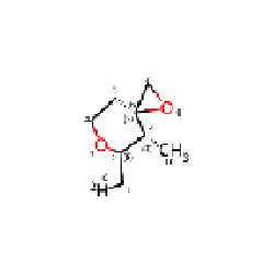 [2H]C[C@H]1OCC[C@@]2(CO2)[C@@H]1C